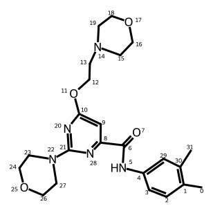 Cc1ccc(NC(=O)c2cc(OCCN3CCOCC3)nc(N3CCOCC3)n2)cc1C